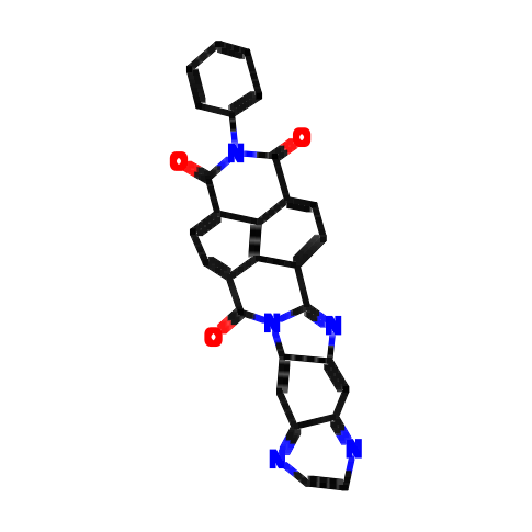 O=C1c2ccc3c(=O)n4c5cc6nccnc6cc5nc4c4ccc(c2c34)C(=O)N1c1ccccc1